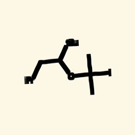 CC(C)CC(OC(C)(C)I)C(C)(C)C